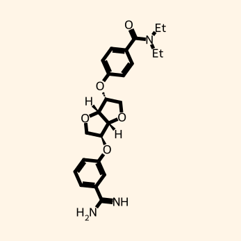 CCN(CC)C(=O)c1ccc(O[C@@H]2CO[C@H]3[C@@H]2OC[C@@H]3Oc2cccc(C(=N)N)c2)cc1